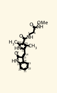 CONC(=O)CCNC(=O)c1c(C)[nH]c(/C=C2\C(=O)Nc3ccccc32)c1C